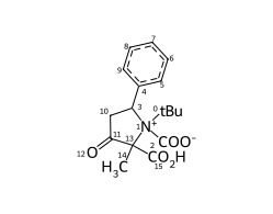 CC(C)(C)[N+]1(C(=O)[O-])C(c2ccccc2)CC(=O)C1(C)C(=O)O